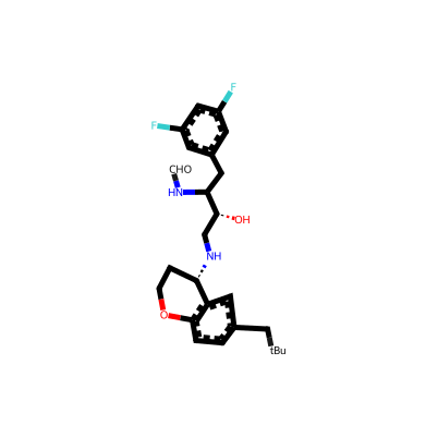 CC(C)(C)Cc1ccc2c(c1)[C@@H](NC[C@@H](O)C(Cc1cc(F)cc(F)c1)NC=O)CCO2